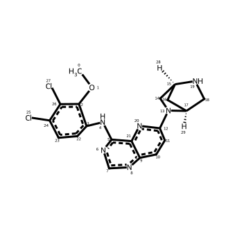 COc1c(Nc2ncnc3ccc(N4C[C@@H]5C[C@H]4CN5)nc23)ccc(Cl)c1Cl